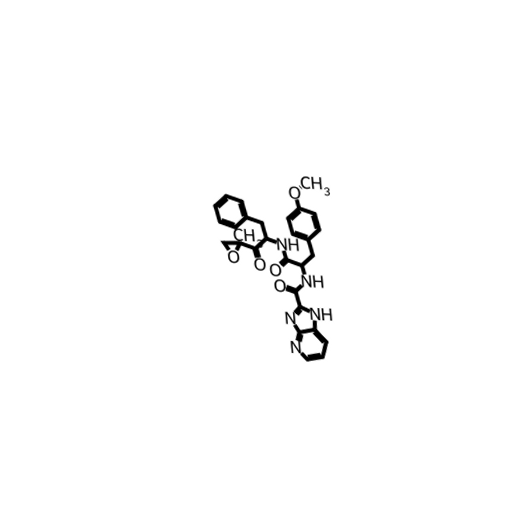 COc1ccc(CC(NC(=O)c2nc3ncccc3[nH]2)C(=O)NC(Cc2ccccc2)C(=O)C2(C)CO2)cc1